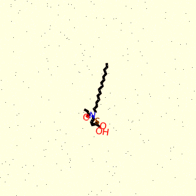 CCCCCCCCCCCCCCCCN(C(=O)CC)c1ccc(C(=O)O)s1